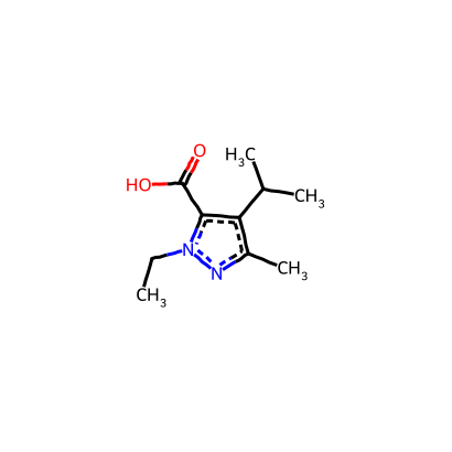 CCn1nc(C)c(C(C)C)c1C(=O)O